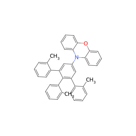 Cc1ccccc1-c1cc(N2c3ccccc3Oc3ccccc32)cc(-c2ccccc2C)c1-c1ccccc1C